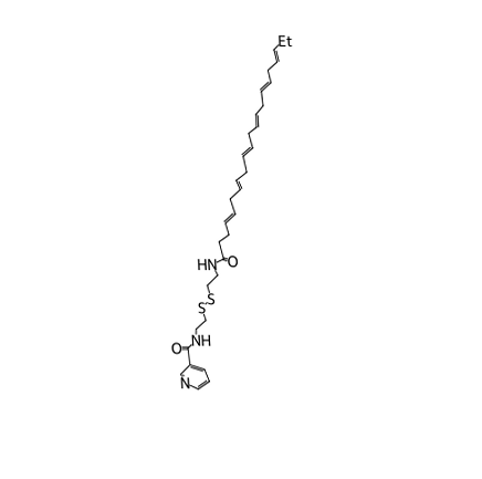 CCC=CCC=CCC=CCC=CCC=CCC=CCCC(=O)NCCSSCCNC(=O)c1cccnc1